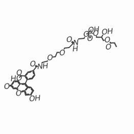 CCC(=O)OCC(O)COP(=O)(O)OCCNC(=O)CCOCCOCCNC(=O)c1ccc(-c2c3ccc(=O)cc-3oc3cc(O)ccc23)c(C(=O)O)c1